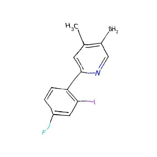 Bc1cnc(-c2ccc(F)cc2I)cc1C